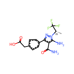 C[C@H](n1nc(-c2ccc(CC(=O)O)cc2)c(C(N)=O)c1N)C(F)(F)F